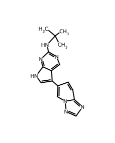 CC(C)(C)Nc1ncc2c(-c3ccc4ncnn4c3)c[nH]c2n1